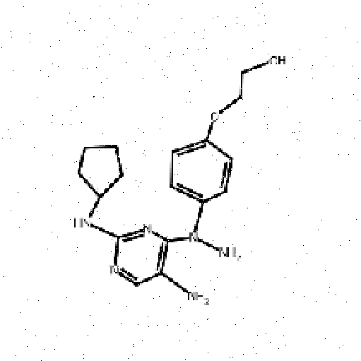 Nc1cnc(NC2CCCC2)nc1N(N)c1ccc(OCCO)cc1